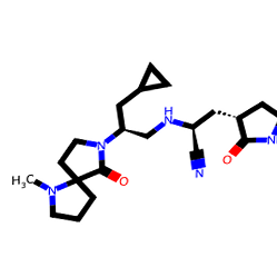 CN1CCCC12CCN([C@H](CN[C@H](C#N)C[C@@H]1CCNC1=O)CC1CC1)C2=O